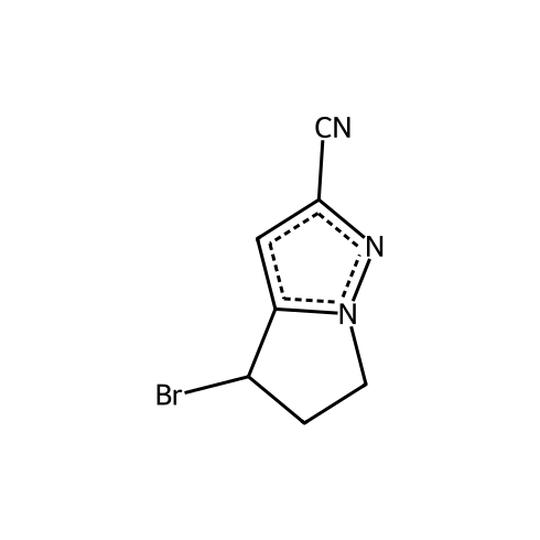 N#Cc1cc2n(n1)CCC2Br